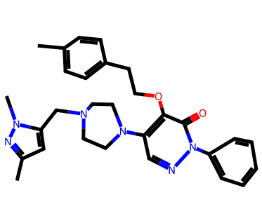 Cc1ccc(CCOc2c(N3CCN(Cc4cc(C)nn4C)CC3)cnn(-c3ccccc3)c2=O)cc1